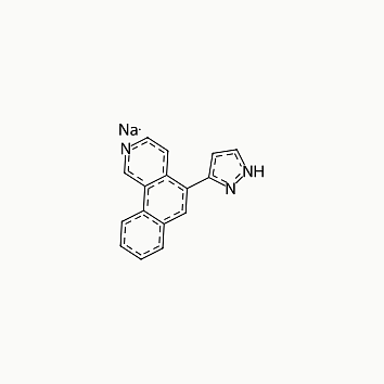 [Na].c1ccc2c(c1)cc(-c1cc[nH]n1)c1ccncc12